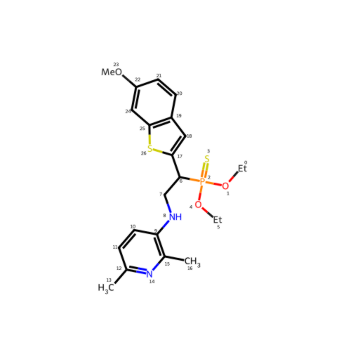 CCOP(=S)(OCC)C(CNc1ccc(C)nc1C)c1cc2ccc(OC)cc2s1